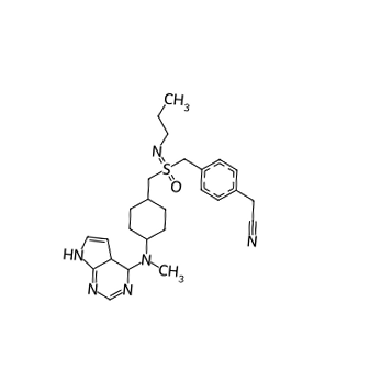 CCCN=S(=O)(Cc1ccc(CC#N)cc1)CC1CCC(N(C)C2N=CN=C3NC=CC32)CC1